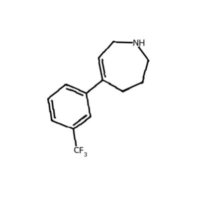 FC(F)(F)c1cccc(C2=CCNCCC2)c1